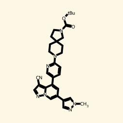 Cn1cc(-c2cc(-c3ccc(N4CCC5(CCN(C(=O)OC(C)(C)C)C5)CC4)nc3)c3c(C#N)cnn3c2)cn1